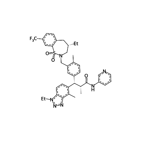 CC[C@H]1Cc2ccc(C(F)(F)F)cc2S(=O)(=O)N(Cc2cc([C@@H](c3ccc4c(nnn4CC)c3C)[C@@H](C)C(=O)Nc3cccnc3)ccc2C)C1